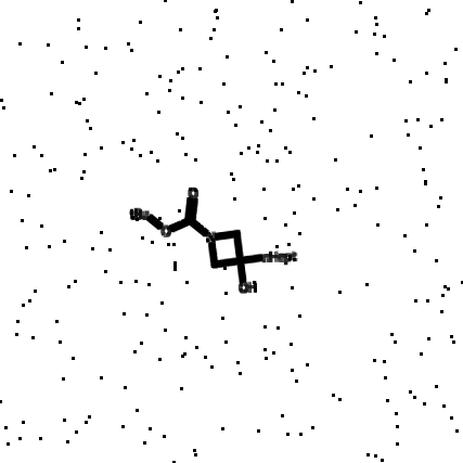 CCCCCCCC1(O)CN(C(=O)OC(C)(C)C)C1